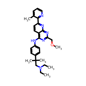 CCN(CC)CC(C)(C)c1ccc(Nc2nc(COC)nc3nc(-c4ncccc4C)ccc23)cc1